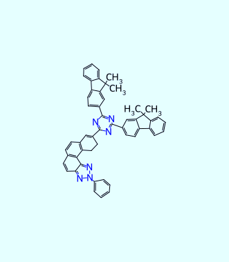 CC1(C)c2ccccc2-c2ccc(-c3nc(C4=Cc5ccc6ccc7nn(-c8ccccc8)nc7c6c5CC4)nc(-c4ccc5c(c4)C(C)(C)c4ccccc4-5)n3)cc21